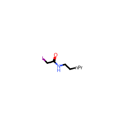 CCCCCNC(=O)CI